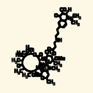 CC[C@H]1OC(=O)[C@H](C)[C@@H](O[C@H]2C[C@@](C)(OC)[C@@H](OC(=O)CCNCCCc3ccc4c(c3)c(=O)c(C(=O)O)cn4N(C)C)[C@H](C)O2)[C@H](C)[C@@H](O[C@@H]2O[C@H](C)C[C@H](N(C)C)[C@H]2O)[C@](C)(OC)C[C@@H](C)C(=O)[C@@H](C)[C@@H](O)[C@]1(C)O